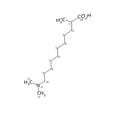 CC(CCCCCCCCCN(C)C)C(=O)O